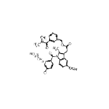 COc1ccc2c(c1)c(CC(=O)OC[n+]1cccc(C(=O)N(C)C)c1)c(C)n2C(=O)c1ccc(Cl)cc1.CS(=O)(=O)O